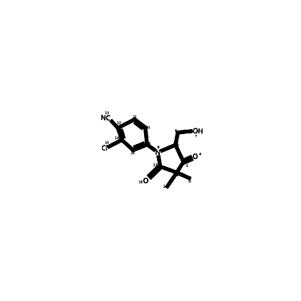 CC1(C)C(=O)C(CO)N(c2ccc(C#N)c(Cl)c2)C1=O